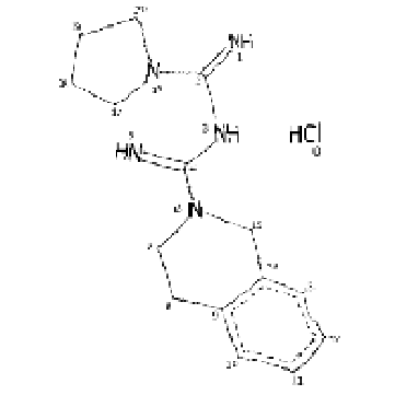 Cl.N=C(NC(=N)N1CCc2ccccc2C1)N1CCCC1